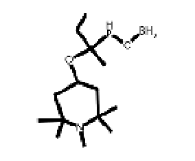 BOPC(C)(CC)OC1CC(C)(C)N(C)C(C)(C)C1